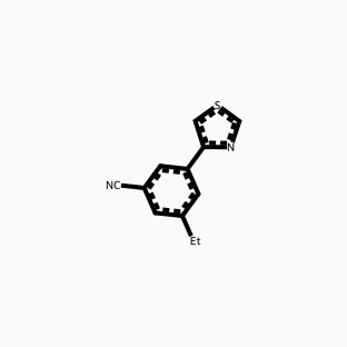 CCc1cc(C#N)cc(-c2cscn2)c1